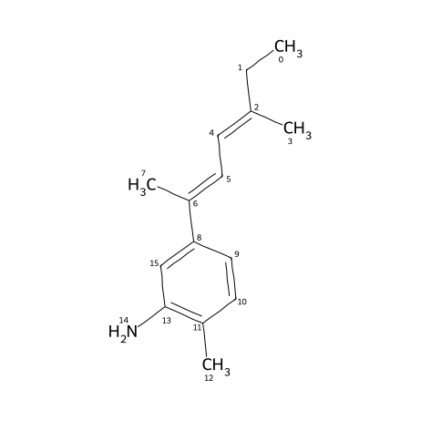 CC/C(C)=C/C=C(\C)c1ccc(C)c(N)c1